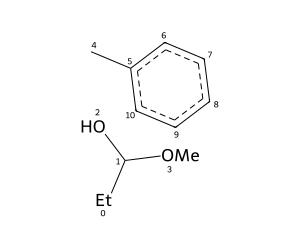 CCC(O)OC.Cc1ccccc1